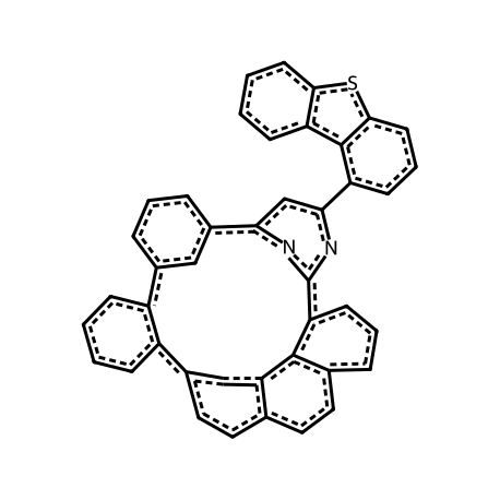 c1cc2cc(c1)c1ccccc1c1ccc3ccc4cccc(c5nc(-c6cccc7sc8ccccc8c67)cc2n5)c4c3c1